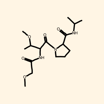 COCC(=O)NC(C(=O)N1CCCC1C(=O)NC(C)C)C(C)OC